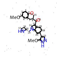 COc1ccc2c(c1)CC(C(=O)c1cn(C[C@H]3CCN3)c3cc(-c4cn[nH]c4OC)ccc13)CO2